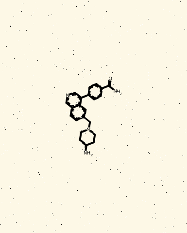 NC(=O)c1ccc(-c2cncc3ccc(CN4CCC(N)CC4)cc23)cc1